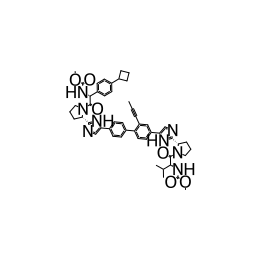 CC#Cc1cc(-c2cnc([C@@H]3CCCN3C(=O)[C@@H](NC(=O)OC)C(C)C)[nH]2)ccc1-c1ccc(-c2cnc([C@@H]3CCCN3C(=O)[C@H](NC(=O)OC)c3ccc(C4CCC4)cc3)[nH]2)cc1